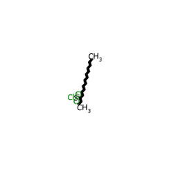 CCCCCCCCCCCCCCC(CCC)[Si](Cl)(Cl)Cl